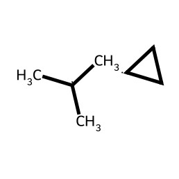 C[C](C)C.[CH]1CC1